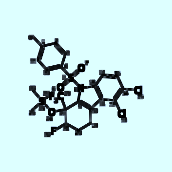 Cc1ccc(S(=O)(=O)n2c3c(c4c(Cl)c(Cl)ccc42)CCC(F)C3(O[Si](C)(C)C)C(F)(F)F)cc1